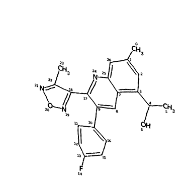 Cc1cc(C(C)O)c2cc(-c3ccc(F)cc3)c(-c3nonc3C)nc2c1